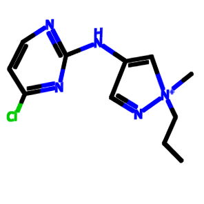 CCC[N+]1(C)C=C(Nc2nccc(Cl)n2)C=N1